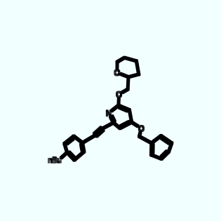 CCCCc1ccc(C#Cc2cc(OCc3ccccc3)cc(OCC3CCCCO3)n2)cc1